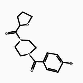 O=C(c1ccc(Br)cc1)N1CCN(C(=O)C2CCCO2)CC1